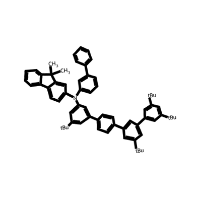 CC(C)(C)c1cc(-c2ccc(-c3cc(N(c4cccc(-c5ccccc5)c4)c4ccc5c(c4)C(C)(C)c4ccccc4-5)cc(C(C)(C)C)c3)cc2)cc(-c2cc(C(C)(C)C)cc(C(C)(C)C)c2)c1